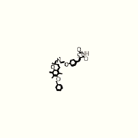 Cc1c(C)c2c(c(C)c1OCc1ccccc1)CCC(C)(CN(C)CCOc1ccc(/C=C3\SC(=O)NC3=O)cc1)O2